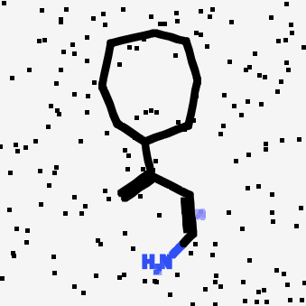 C=C(/C=C\N)C1CCCCCCC1